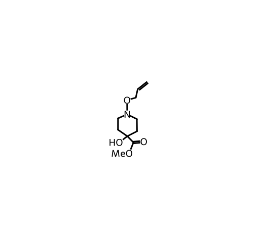 C=CCON1CCC(O)(C(=O)OC)CC1